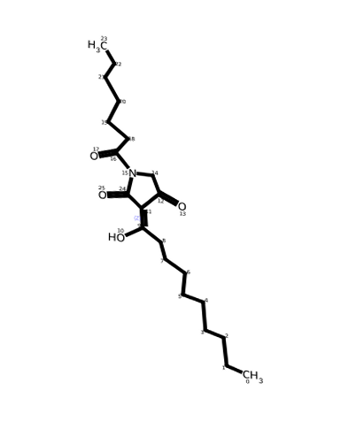 CCCCCCCCC/C(O)=C1\C(=O)CN(C(=O)CCCCCC)C1=O